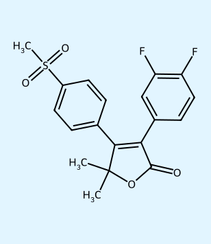 CC1(C)OC(=O)C(c2ccc(F)c(F)c2)=C1c1ccc(S(C)(=O)=O)cc1